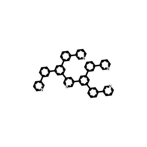 c1cncc(-c2cccc(-c3cc(-c4cccc(-c5cccnc5)c4)cc(-c4cncc(-c5cc(-c6cccc(-c7cccnc7)c6)cc(-c6cccc(-c7cccnc7)c6)c5)c4)c3)c2)c1